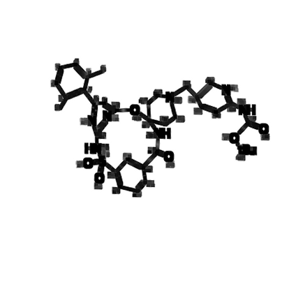 Cc1cccc(C)c1-c1cc2nc(n1)NS(=O)(=O)c1cccc(c1)C(=O)NC1(CCN(Cc3ccc(NC(=O)OC(C)(C)C)nc3)CC1)O2